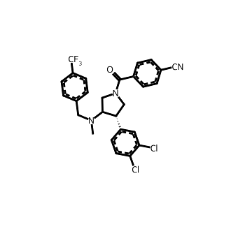 CN(Cc1ccc(C(F)(F)F)cc1)C1CN(C(=O)c2ccc(C#N)cc2)C[C@@H]1c1ccc(Cl)c(Cl)c1